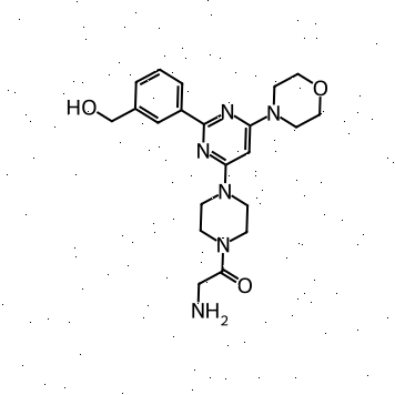 NCC(=O)N1CCN(c2cc(N3CCOCC3)nc(-c3cccc(CO)c3)n2)CC1